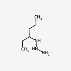 CCCC(CC)NNN